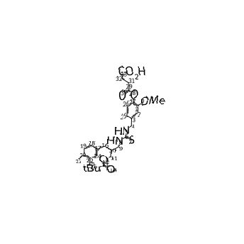 COc1cc(CNC(=S)NCC(COC(=O)C(C)(C)C)Cc2ccc(C)c(C)c2)ccc1OC(=O)CCC(=O)O